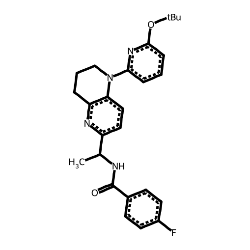 CC(NC(=O)c1ccc(F)cc1)c1ccc2c(n1)CCCN2c1cccc(OC(C)(C)C)n1